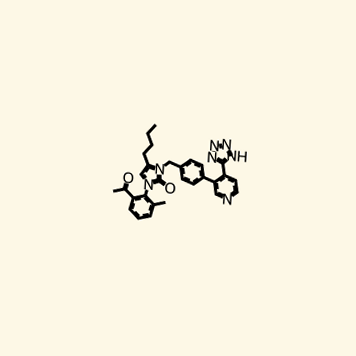 CCCCc1cn(-c2c(C)cccc2C(C)=O)c(=O)n1Cc1ccc(-c2cnccc2-c2nnn[nH]2)cc1